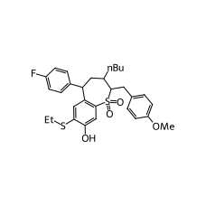 CCCCC1CC(c2ccc(F)cc2)c2cc(SCC)c(O)cc2S(=O)(=O)C1Cc1ccc(OC)cc1